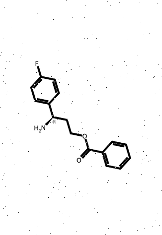 N[C@H](CCOC(=O)c1ccccc1)c1ccc(F)cc1